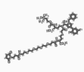 CC(C)(C)[C@H](c1cc(-c2cc(F)ccc2F)cn1Cc1ccccc1)N(CC[C@H](NC(=O)OCC[Si](C)(C)C)C(=O)O)C(=O)CSCC[C@H](NC(=O)CCOCCOCCOCCOCCNC(=O)CCN1C(=O)C=CC1=O)C(=O)O